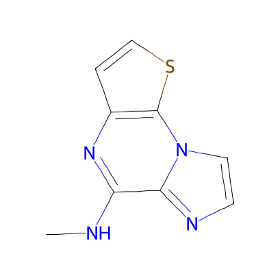 CNc1nc2ccsc2n2ccnc12